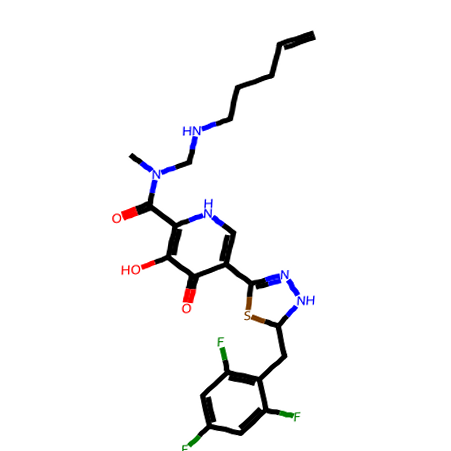 C=CCCCNCN(C)C(=O)c1[nH]cc(C2=NNC(Cc3c(F)cc(F)cc3F)S2)c(=O)c1O